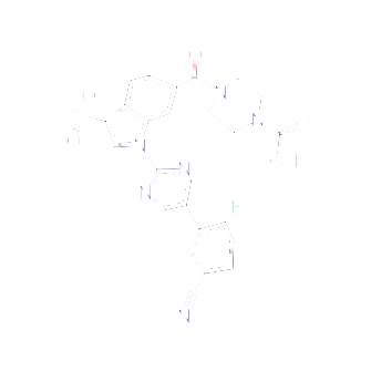 CS(=O)(=O)c1cn(-c2ncc(-c3cc(C#N)ccc3F)cn2)c2cc(C(=O)N3CCN(C(=O)O)CC3)ccc12